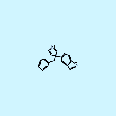 C1=CC(Cc2ccccc2)(c2ccc3sccc3c2)C=N1